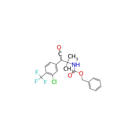 CC(C)(NC(=O)OCc1ccccc1)C(=C=O)c1ccc(C(F)(F)F)c(Cl)c1